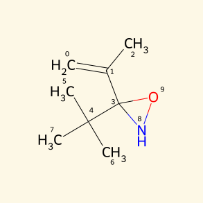 C=C(C)C1(C(C)(C)C)NO1